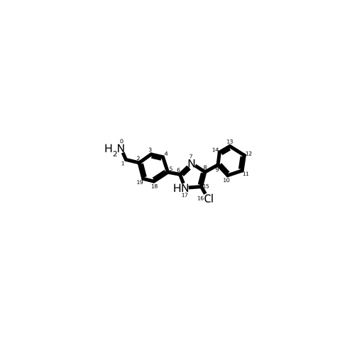 NCc1ccc(-c2nc(-c3ccccc3)c(Cl)[nH]2)cc1